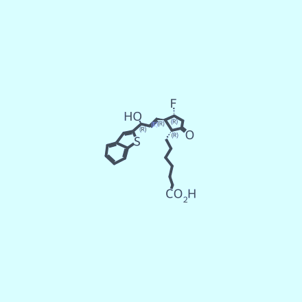 O=C(O)CCCCCC[C@H]1C(=O)C[C@@H](F)[C@@H]1/C=C/[C@@H](O)c1cc2ccccc2s1